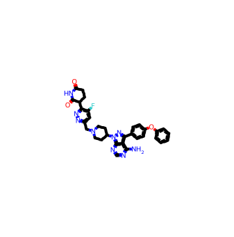 Nc1ncnc2c1c(-c1ccc(Oc3ccccc3)cc1)nn2C1CCN(Cc2cc(F)c(C3CCC(=O)NC3=O)nn2)CC1